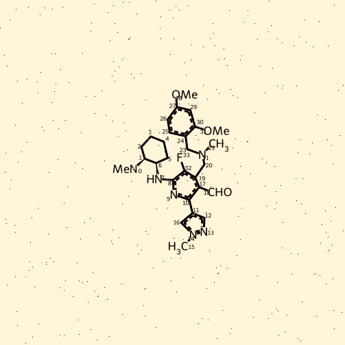 CN[C@H]1CCCC[C@H]1Nc1nc(-c2cnn(C)c2)c(C=O)c(CN(C)Cc2ccc(OC)cc2OC)c1F